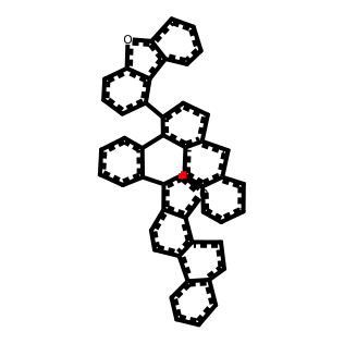 c1ccc(-c2coc3c2ccc2c4ccccc4ccc23)c(-c2c(-c3cccc4oc5ccccc5c34)ccc3cc4ccccc4cc23)c1